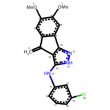 C=C1c2cc(OC)c(OC)cc2-c2n[nH]c(Nc3cccc(Cl)c3)c21